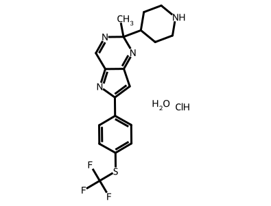 CC1(C2CCNCC2)N=CC2=NC(c3ccc(SC(F)(F)F)cc3)=CC2=N1.Cl.O